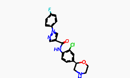 O=C(Nc1ccc([C@@H]2CNCCO2)cc1Cl)c1cnn(-c2ccc(F)cc2)c1